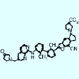 Cc1c(Nc2nccc3cc(CN4CC[C@@H](O)C4)cnc23)cccc1-c1cccc(-c2cc3cc4c(c(C#N)c3o2)CC[C@@H]4N2CC[C@@H](C(=O)O)C2)c1C